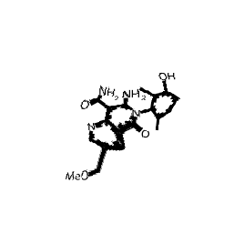 COCc1cnc2c(C(N)=O)c(N)n(-c3c(C)ccc(O)c3C)c(=O)c2c1